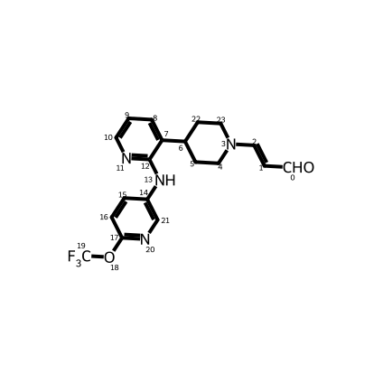 O=CC=CN1CCC(c2cccnc2Nc2ccc(OC(F)(F)F)nc2)CC1